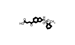 Cc1ccccc1S(=O)(=O)NC1Cc2ccc(C(=O)CCC(=O)O)cc2C1